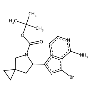 CC(C)(C)OC(=O)N1CC2(CC2)CC1c1nc(Br)c2c(N)nccn12